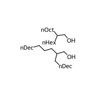 CCCCCCCCC(CO)CCCCCC.CCCCCCCCCCCCCC(CO)CCCCCCCCCCC